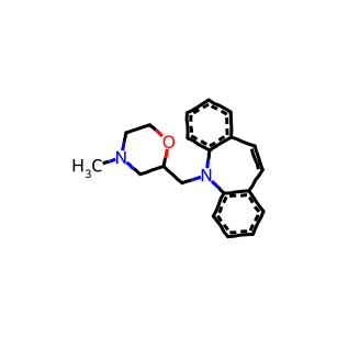 CN1CCOC(CN2c3ccccc3C=Cc3ccccc32)C1